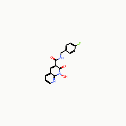 O=C(NCc1ccc(F)cc1)c1cc2cccnc2n(O)c1=O